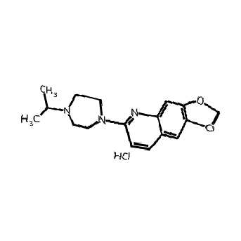 CC(C)N1CCN(c2ccc3cc4c(cc3n2)OCO4)CC1.Cl